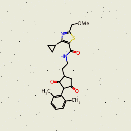 COCc1nc(C2CC2)c(C(=O)NCCC2CC(=O)C(c3c(C)cccc3C)C2=O)s1